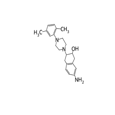 Cc1ccc(C)c(N2CCN(C3Cc4ccc(N)cc4CC3O)CC2)c1